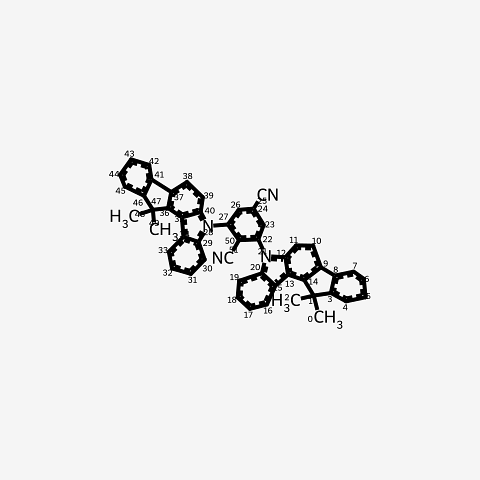 CC1(C)c2ccccc2-c2ccc3c(c21)c1ccccc1n3-c1cc(C#N)cc(-n2c3ccccc3c3c4c(ccc32)-c2ccccc2C4(C)C)c1C#N